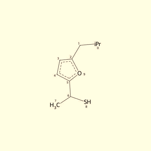 CC(C)Cc1ccc(C(C)S)o1